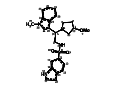 CO[C@@H]1CCN([C@@H](CNS(=O)(=O)c2ccc3cc[nH]c3c2)c2cn(C)c3ccccc23)C1